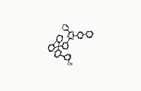 N#Cc1cccc(-c2cccc(C3(c4cccc(-c5nc(C6=CCCC=C6)nc(-c6ccc(-c7ccccc7)cc6)n5)c4)c4ccccc4-c4ccccc43)c2)c1